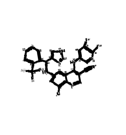 N#Cc1cnc2c(Cl)cc(NC(c3c[nH]nn3)c3ccccc3C(F)(F)F)cc2c1Nc1cnc(F)c(F)c1